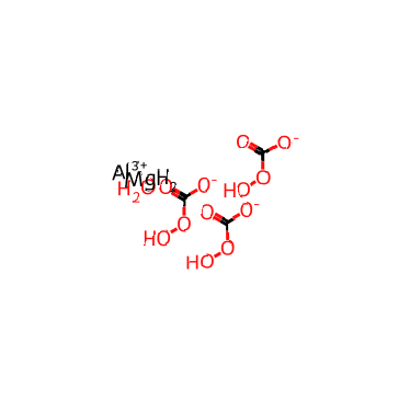 O.O=C([O-])OO.O=C([O-])OO.O=C([O-])OO.[Al+3].[MgH2]